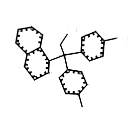 CCC(c1ccc(O)cc1)(c1ccc(O)cc1)c1cccc2ccccc12